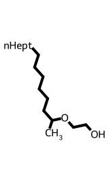 CCCCCCCCCCCCCC(C)OCCO